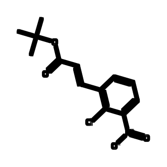 CC(C)(C)OC(=O)/C=C/c1cccc([N+](=O)[O-])c1Cl